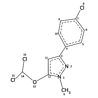 Cn1nc(-c2ccc(Cl)cc2)cc1OC(Cl)Cl